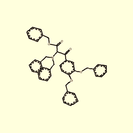 O=C(OCc1ccccc1)C(C(=O)c1ccc(OCc2ccccc2)c(OCc2ccccc2)c1)N(Cc1ccccc1)Cc1ccccc1